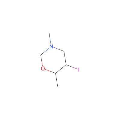 CC1OCN(C)CC1I